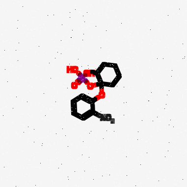 CC1CCCCC1(Oc1ccccc1[N+](=O)[O-])OP(=O)(O)O